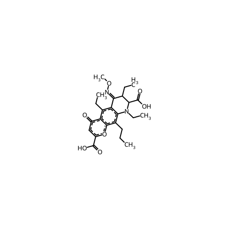 CCCc1c2c(c(CC)c3c(=O)cc(C(=O)O)oc13)C(=NOC)C(CC)C(C(=O)O)N2CC